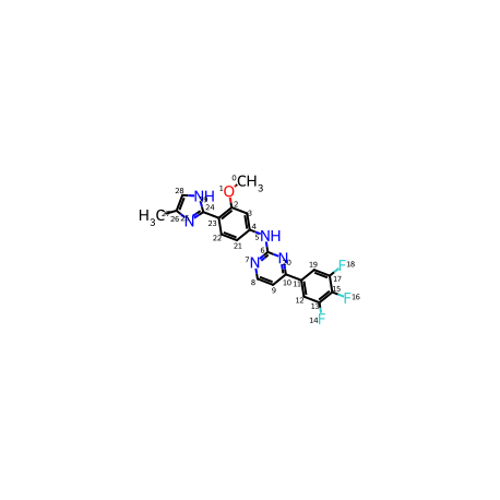 COc1cc(Nc2nccc(-c3cc(F)c(F)c(F)c3)n2)ccc1-c1nc(C)c[nH]1